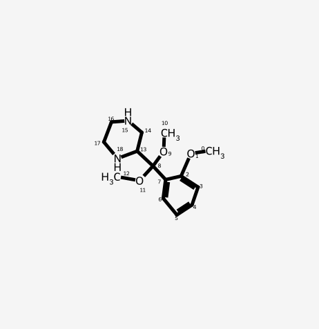 COc1ccccc1C(OC)(OC)C1CNCCN1